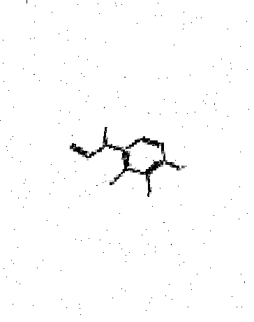 C=C[C](C)c1ccc(F)c(F)c1F